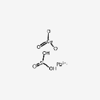 O=[Si](O)O.[O]=[Ge]([O-])[O-].[Pb+2]